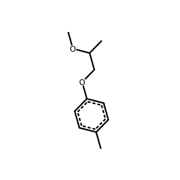 COC(C)COc1ccc(C)cc1